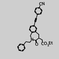 CCOC(=O)CC1Cc2cc(C#Cc3ccc(C#N)cc3)ccc2CN(CCc2ccccc2)C1=O